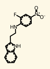 O=[N+]([O-])c1ccc(NCCc2cc3ccccc3[nH]2)c(F)c1